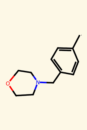 [CH2]c1ccc(CN2CCOCC2)cc1